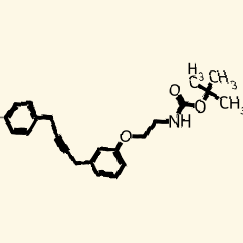 CC(C)(C)OC(=O)NCCOc1cccc(CC#CCc2ccccc2)c1